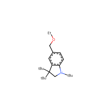 CCOCc1ccc2c(c1)C(C(C)(C)C)(C(C)(C)C)CN2C(C)(C)C